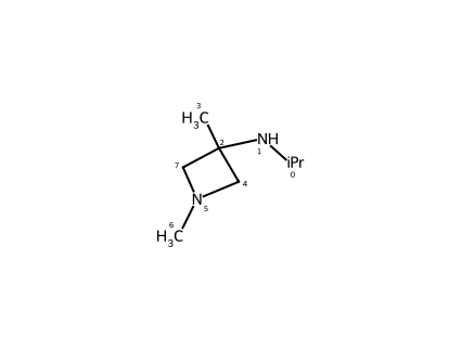 CC(C)NC1(C)CN(C)C1